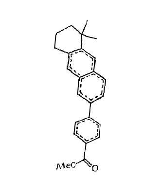 COC(=O)c1ccc(-c2ccc3cc4c(cc3c2)CCCC4(C)C)cc1